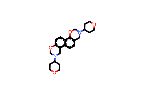 c1cc2c3c(ccc2c2c1CN(C1CCOCC1)CO2)OCN(C1CCOCC1)C3